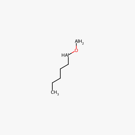 CCCC[CH2][AlH][O][AlH2]